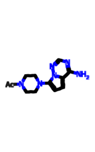 CC(=O)N1CCN(c2ccc3c(N)ncnn23)CC1